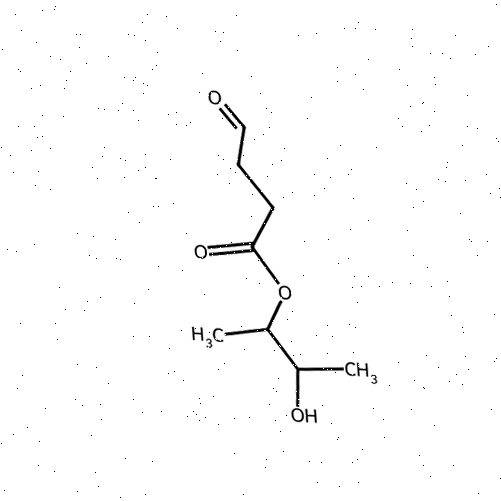 CC(O)C(C)OC(=O)CCC=O